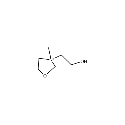 C[N+]1(CCO)CCOC1